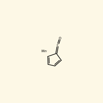 O=C=C1C=CC=C1.[Mn]